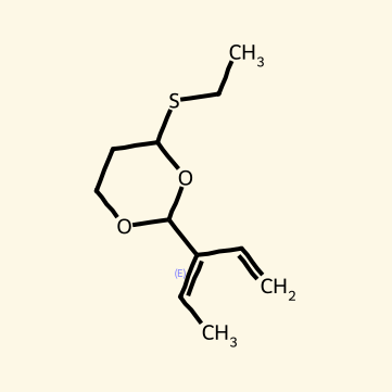 C=C/C(=C\C)C1OCCC(SCC)O1